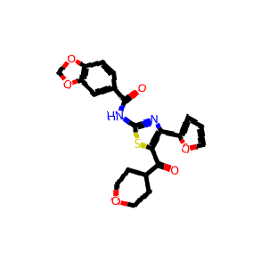 O=C(Nc1nc(-c2ccco2)c(C(=O)C2CCOCC2)s1)c1ccc2c(c1)OCO2